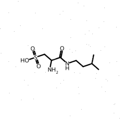 CC(C)CCNC(=O)C(N)CS(=O)(=O)O